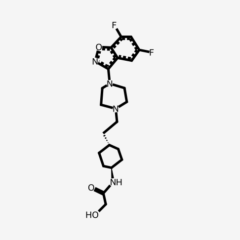 O=C(CO)N[C@H]1CC[C@H](CCN2CCN(c3noc4c(F)cc(F)cc34)CC2)CC1